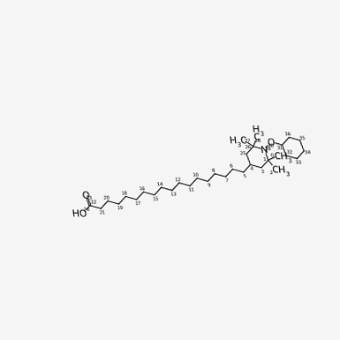 CC1(C)CC(CCCCCCCCCCCCCCCCCC(=O)O)CC(C)(C)N1OC1CCCCC1